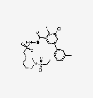 CCS(=O)(=O)N1CCCC(CS(=O)(=O)NNC(=O)c2cc(-c3cccc(C)c3)cc(Cl)c2F)C1